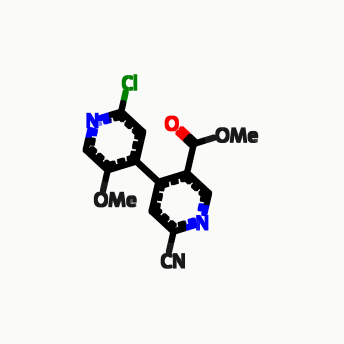 COC(=O)c1cnc(C#N)cc1-c1cc(Cl)ncc1OC